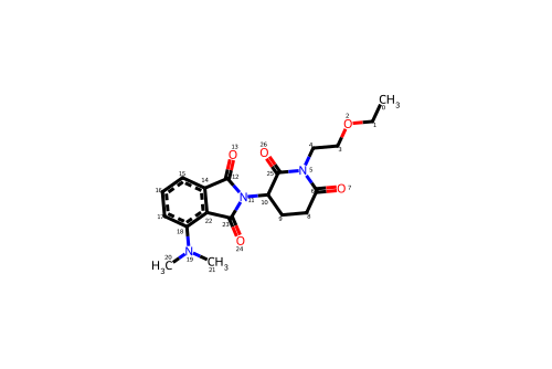 CCOCCN1C(=O)CCC(N2C(=O)c3cccc(N(C)C)c3C2=O)C1=O